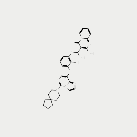 O=c1c(C(O)Nc2cccc(Sc3cnc(N4CCC5(CCCC5)CC4)n4ccnc34)c2Cl)c(O)nc2ccccn12